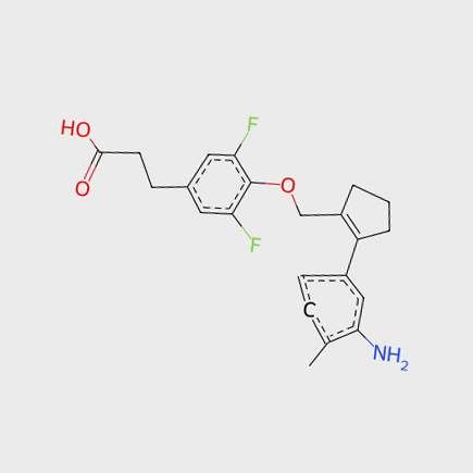 Cc1ccc(C2=C(COc3c(F)cc(CCC(=O)O)cc3F)CCC2)cc1N